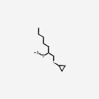 CCCCCC(CSC1CC1)SS